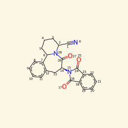 N#CC1CCCC2c3ccccc3C[C@H](N3C(=O)c4ccccc4C3=O)C(=O)N12